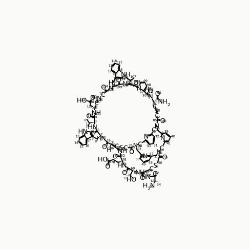 CC(C)[C@@H]1NC(=O)[C@H](Cc2c[nH]c3ccccc23)NC(=O)[C@@H]2CSCC(=O)N3Cc4cccc(n4)CN(Cc4cccc(n4)CN(Cc4cccc(n4)C3)C(=O)CSC[C@H](NC(=O)[C@H](C)N)C(=O)N[C@@H]([C@@H](C)O)C(=O)N[C@@H](CCC(=O)O)C(=O)N2)C(=O)CSC[C@@H](C(N)=O)NC(=O)[C@@H]2CCCN2C(=O)[C@H](C(C)C)NC(=O)[C@H](Cc2c[nH]c3ccccc23)NC(=O)CNC[C@H](CC(=O)O)NC1=O